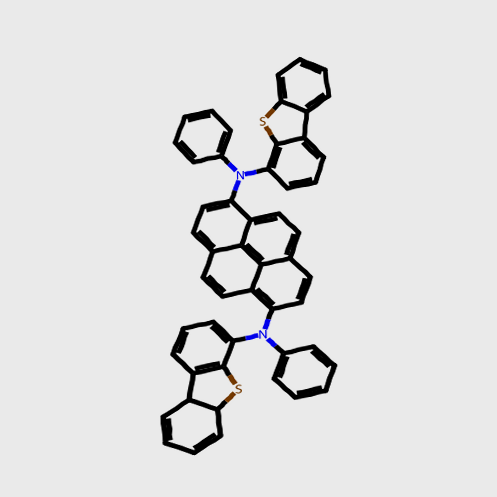 C1=CC2Sc3c(cccc3N(c3ccccc3)c3ccc4ccc5c(N(c6ccccc6)c6cccc7c6sc6ccccc67)ccc6ccc3c4c65)C2C=C1